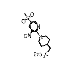 CCOC(=O)CC1CCN(c2ncc(S(C)(=O)=O)cc2N=O)CC1